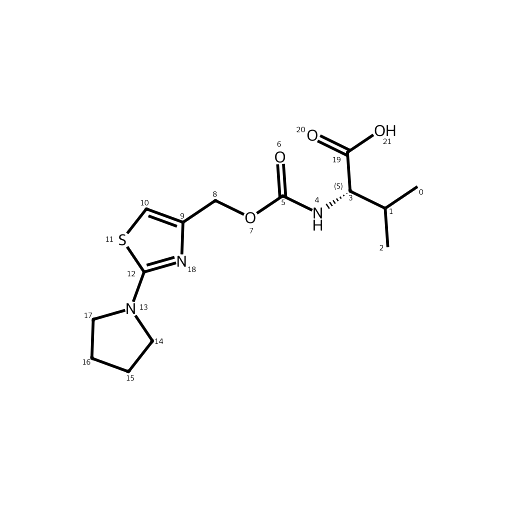 CC(C)[C@H](NC(=O)OCc1csc(N2CCCC2)n1)C(=O)O